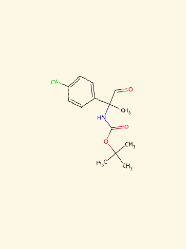 CC(C)(C)OC(=O)NC(C)(C=O)c1ccc(Cl)cc1